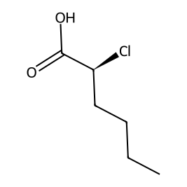 CCCC[C@H](Cl)C(=O)O